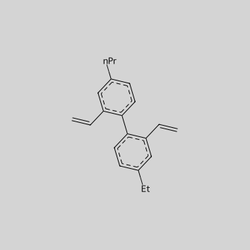 C=Cc1cc(CC)ccc1-c1ccc(CCC)cc1C=C